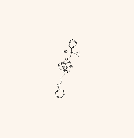 OC(CO[C@H]1C2CC[N+](CCCOc3ccccc3)(CC2)[C@H]1Br)(c1ccccc1)C1CC1